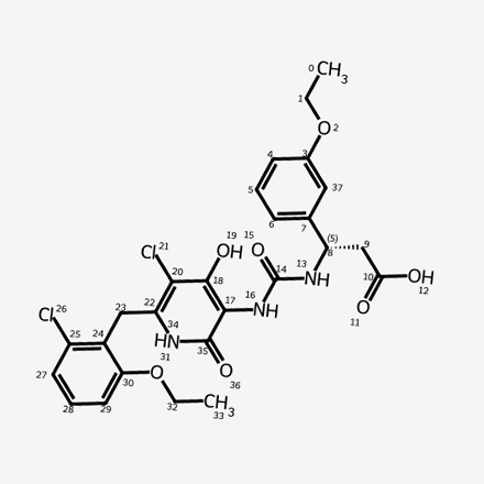 CCOc1cccc([C@H](CC(=O)O)NC(=O)Nc2c(O)c(Cl)c(Cc3c(Cl)cccc3OCC)[nH]c2=O)c1